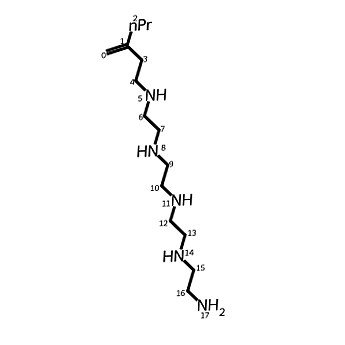 C=C(CCC)CCNCCNCCNCCNCCN